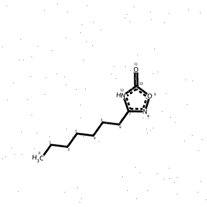 CCCCCCCc1noc(=O)[nH]1